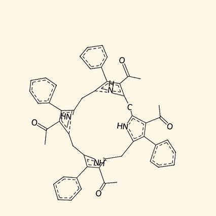 CC(=O)c1c2[nH]c(c1-c1ccccc1)Cc1[nH]c(c(-c3ccccc3)c1C(C)=O)Cc1[nH]c(c(-c3ccccc3)c1C(C)=O)Cc1[nH]c(c(C(C)=O)c1-c1ccccc1)C2